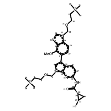 COc1c(-c2cn(COCC[Si](C)(C)C)c3nc(NC(=O)[C@H]4C[C@H]4F)ccc23)ccc2c1ncn2COCC[Si](C)(C)C